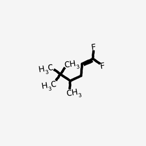 CC(CC=C(F)F)C(C)(C)C